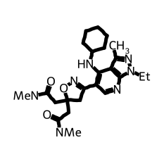 CCn1nc(C)c2c(NC3CCCCC3)c(C3=NOC(CC(=O)NC)(CC(=O)NC)C3)cnc21